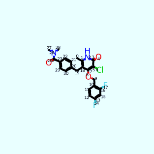 Cc1[nH]c(=O)c(Cl)c(OCc2ccc(F)cc2F)c1Cc1ccc(C(=O)N(C)C)cc1